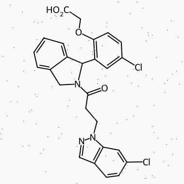 O=C(O)COc1ccc(Cl)cc1C1c2ccccc2CN1C(=O)CCn1ncc2ccc(Cl)cc21